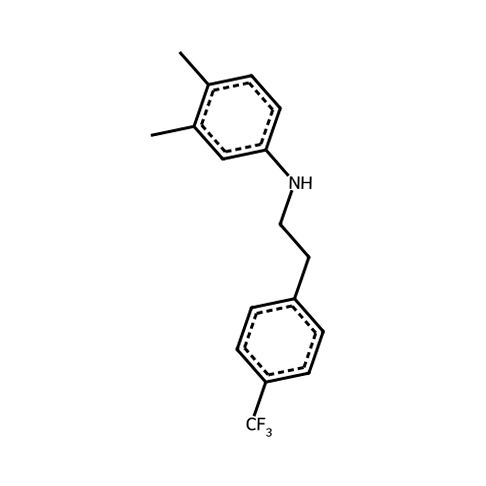 Cc1ccc(NCCc2ccc(C(F)(F)F)cc2)cc1C